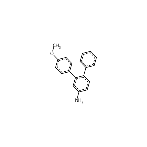 COc1ccc(-c2cc(N)ccc2-c2ccccc2)cc1